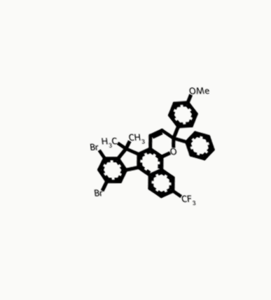 COc1ccc(C2(c3ccccc3)C=Cc3c4c(c5ccc(C(F)(F)F)cc5c3O2)-c2cc(Br)cc(Br)c2C4(C)C)cc1